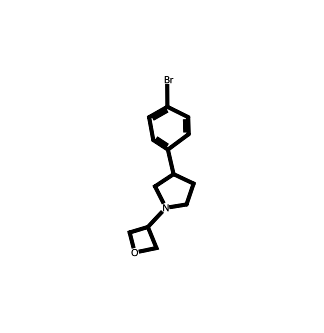 Brc1ccc(C2CCN(C3COC3)C2)cc1